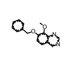 COc1c(OCc2ccccc2)ccc2[c]ncnc12